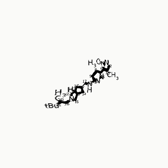 Cc1cnn(C)c1-c1ccc(NC[C@H]2CC3CN(CC(C)C(C)(C)C)C[C@@H]3C2)nn1